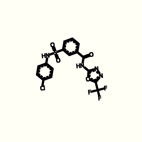 O=C(Nc1nnc(C(F)(F)F)o1)c1cccc(S(=O)(=O)Nc2ccc(Cl)cc2)c1